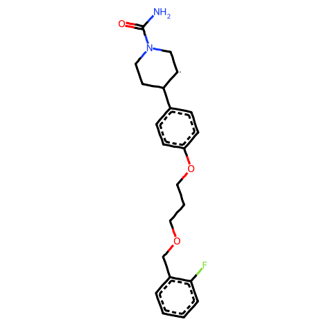 NC(=O)N1C[CH]C(c2ccc(OCCCOCc3ccccc3F)cc2)CC1